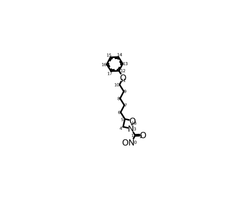 O=NC(=O)N1CC(CCCCCOc2ccccc2)O1